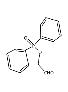 O=CCOP(=O)(c1ccccc1)c1ccccc1